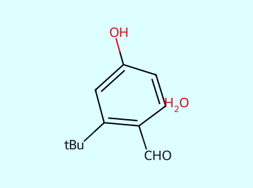 CC(C)(C)c1cc(O)ccc1C=O.O